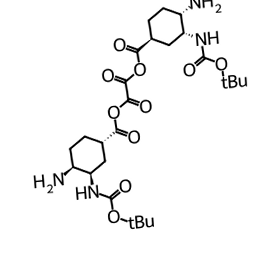 CC(C)(C)OC(=O)N[C@@H]1C[C@@H](C(=O)OC(=O)C(=O)OC(=O)[C@H]2CC[C@H](N)[C@H](NC(=O)OC(C)(C)C)C2)CC[C@@H]1N